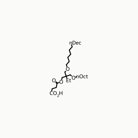 CCCCCCCCCCCCCCCCOCC(CC)(COCCCCCCCC)COC(=O)CCC(=O)O